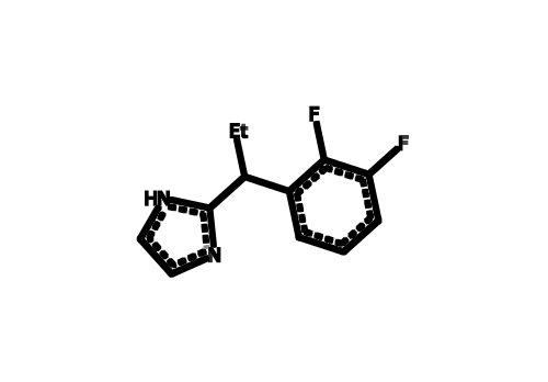 CCC(c1ncc[nH]1)c1cccc(F)c1F